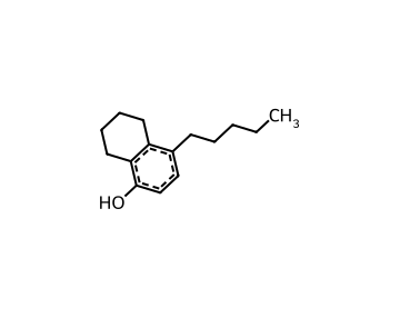 CCCCCc1ccc(O)c2c1CCCC2